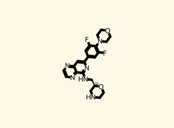 Fc1cc(-c2cc3nccnc3c(NC[C@@H]3CNCCO3)n2)cc(F)c1N1CCOCC1